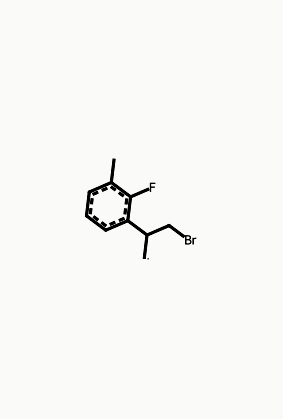 [CH2]C(CBr)c1cccc(C)c1F